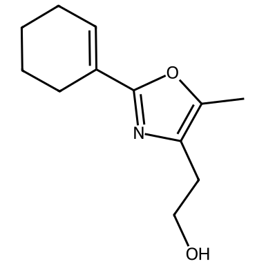 Cc1oc(C2=CCCCC2)nc1CCO